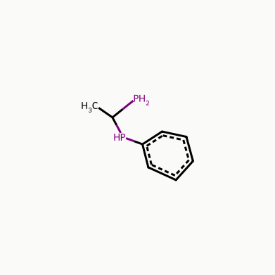 CC(P)Pc1ccccc1